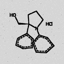 Cl.OC[C@@]1(c2ccccc2)CCCN1c1ccccc1